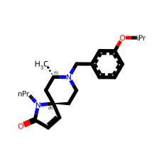 CCCN1C(=O)C=C[C@]12CCN(Cc1cccc(OC(C)C)c1)[C@@H](C)C2